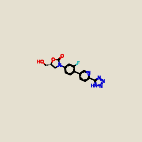 O=C1O[C@@H](CO)CN1c1ccc(-c2ccc(-c3nnn[nH]3)nc2)c(F)c1